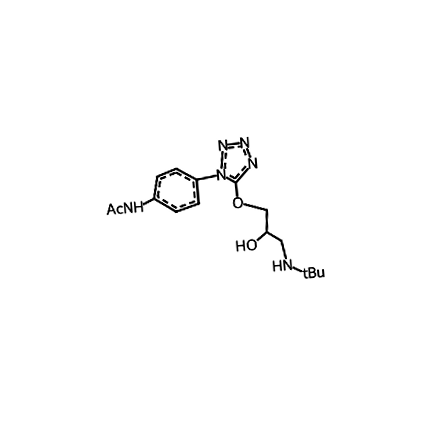 CC(=O)Nc1ccc(-n2nnnc2OCC(O)CNC(C)(C)C)cc1